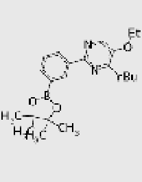 CCCCc1nc(-c2cccc(B3OC(C)(C)C(C)(C)O3)c2)ncc1OCC